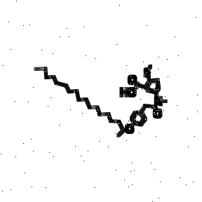 CCCCCCCCCCCCCCCCC(C)Oc1ccc(CC(=O)N(C)c2ccc(SC)c(C(=O)O)c2)cc1